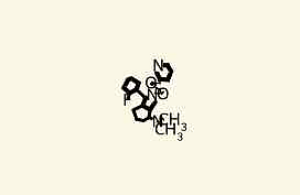 CN(C)C1CCCc2c1cn(S(=O)(=O)c1cccnc1)c2-c1ccccc1F